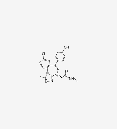 CCNC(=O)C[C@@H]1N=C(c2ccc(O)cc2)c2cc(Cl)ccc2-n2c(C)nnc21